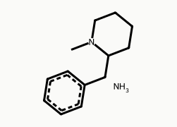 CN1CCCCC1Cc1ccccc1.N